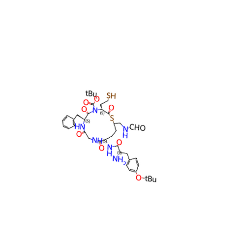 CC(C)(C)OC(=O)N1C(=O)[C@H](Cc2ccccc2)NC(=O)CNC(=O)[C@@H](NC(=O)[C@@H](N)Cc2ccc(OC(C)(C)C)cc2)CCC(CNC=O)SC(=O)[C@@H]1CCS